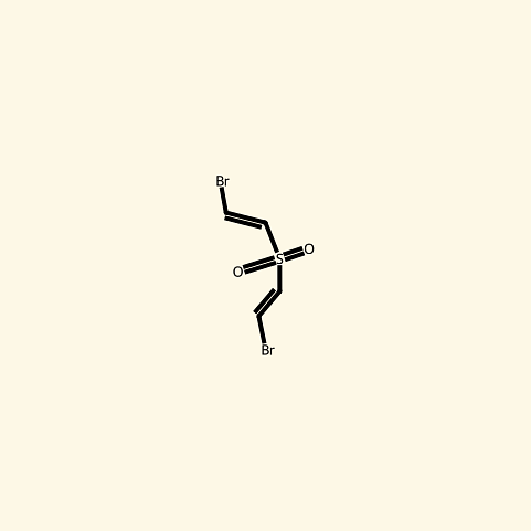 O=S(=O)(C=CBr)C=CBr